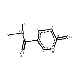 CN(C)C(=O)c1ccc(=O)oc1